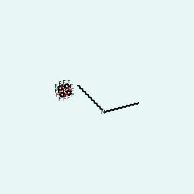 CCCCCCCCCCCCCCCCCCN(C)CCCCCCCCCCCCCCCCCC.Fc1c(F)c(F)c([B-](c2c(F)c(F)c(F)c(F)c2F)(c2c(F)c(F)c(F)c(F)c2F)c2c(F)c(F)c(F)c(F)c2F)c(F)c1F